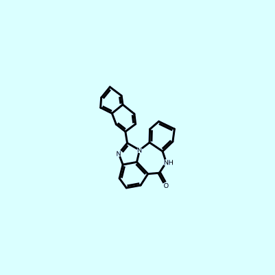 O=C1Nc2ccccc2-n2c(-c3ccc4ccccc4c3)nc3cccc1c32